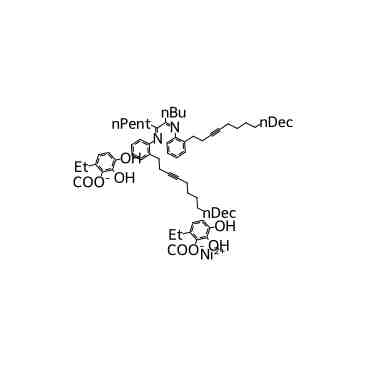 CCCCCCCCCCCCCCC#CCCc1ccccc1N=C(CCCC)C(CCCCC)=Nc1ccccc1CCC#CCCCCCCCCCCCCCC.CCc1ccc(O)c(O)c1C(=O)[O-].CCc1ccc(O)c(O)c1C(=O)[O-].[Ni+2]